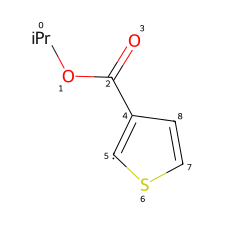 CC(C)OC(=O)c1[c]scc1